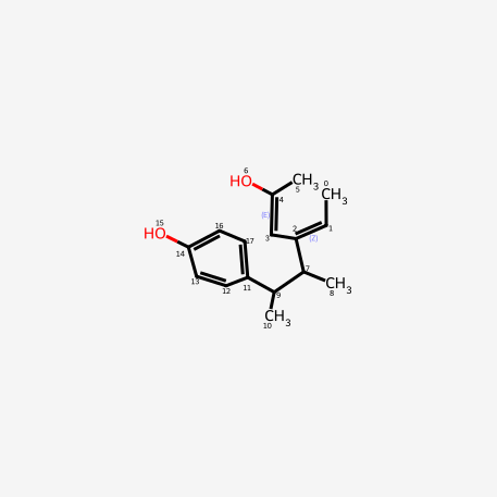 C/C=C(\C=C(/C)O)C(C)C(C)c1ccc(O)cc1